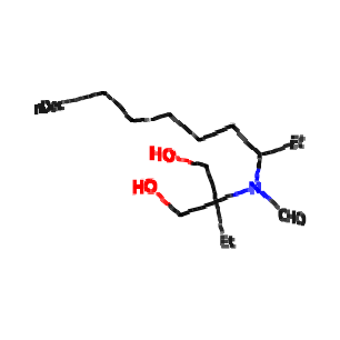 CCCCCCCCCCCCCCCC(CC)N(C=O)C(CC)(CO)CO